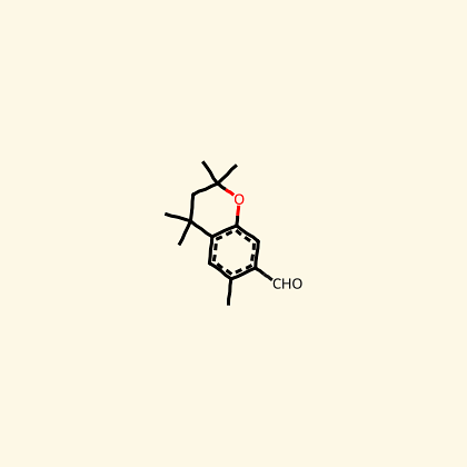 Cc1cc2c(cc1C=O)OC(C)(C)CC2(C)C